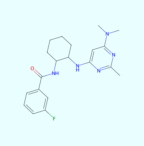 Cc1nc(NC2CCCCC2NC(=O)c2cccc(F)c2)cc(N(C)C)n1